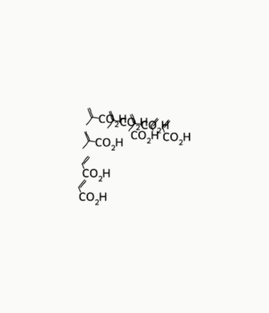 C=C(C)C(=O)O.C=C(C)C(=O)O.C=C(C)C(=O)O.C=C(C)C(=O)O.C=CC(=O)O.C=CC(=O)O.C=CC(=O)O.C=CC(=O)O